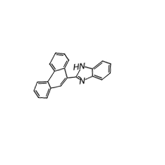 c1ccc2c(c1)cc(-c1nc3ccccc3[nH]1)c1ccccc12